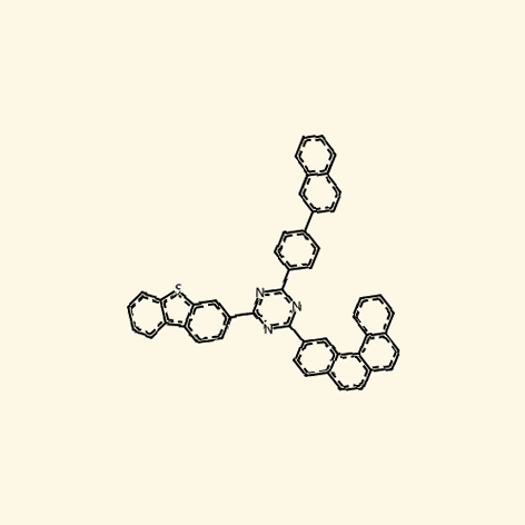 c1ccc2cc(-c3ccc(-c4nc(-c5ccc6c(c5)sc5ccccc56)nc(-c5ccc6ccc7ccc8ccccc8c7c6c5)n4)cc3)ccc2c1